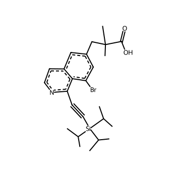 CC(C)[Si](C#Cc1nccc2cc(CC(C)(C)C(=O)O)cc(Br)c12)(C(C)C)C(C)C